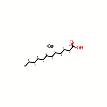 CCCCCCCCCCCC(=O)O.[Ba]